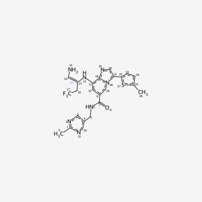 Cc1ncc(CNC(=O)c2cc(N/C(=C\N)CC(F)(F)F)c3ncc(-c4ccc(C)s4)n3c2)cn1